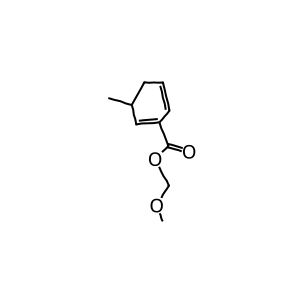 COCOC(=O)C1=CC(C)CC=C1